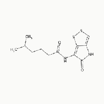 CC(C)CCCC(=O)Nc1c2sscc-2[nH]c1=O